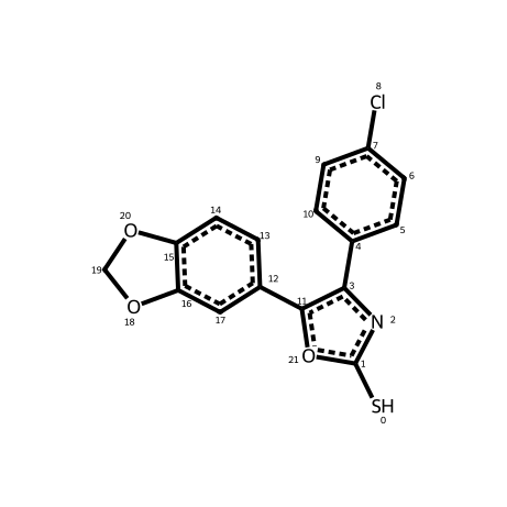 Sc1nc(-c2ccc(Cl)cc2)c(-c2ccc3c(c2)OCO3)o1